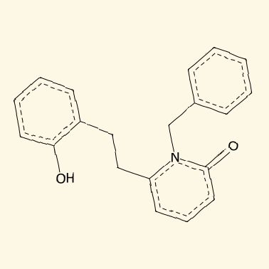 O=c1cccc(CCc2ccccc2O)n1Cc1ccccc1